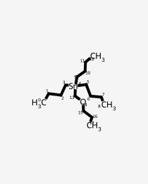 CCC[CH2][Sn]([CH2]CCC)([CH2]CCC)[CH2]OCCC